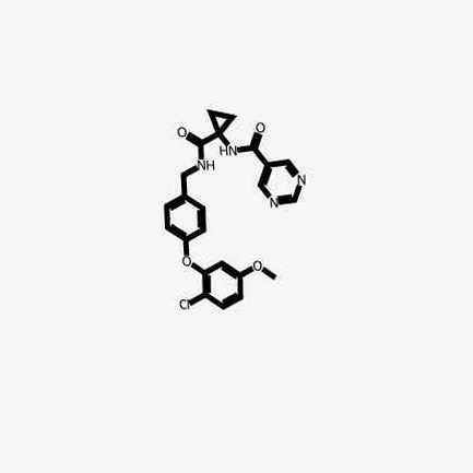 COc1ccc(Cl)c(Oc2ccc(CNC(=O)C3(NC(=O)c4cncnc4)CC3)cc2)c1